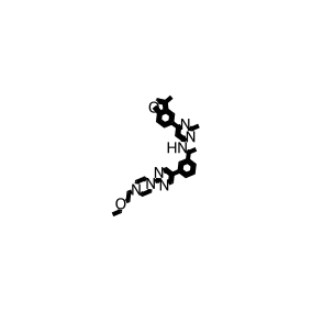 CCOCCN1CCN(c2ncc(-c3cccc(C(C)Nc4cc(-c5ccc6occ(C)c6c5)nc(C)n4)c3)cn2)CC1